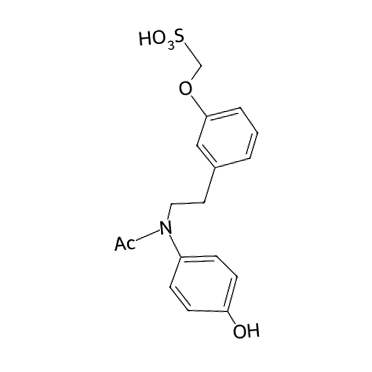 CC(=O)N(CCc1cccc(OCS(=O)(=O)O)c1)c1ccc(O)cc1